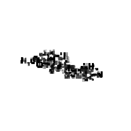 COC(=O)c1ccc2nc(Cc3cc(F)c(-c4ccnc(OCc5ccc(C#N)cc5OC)n4)cc3F)n(CC3(CF)CC3)c2c1